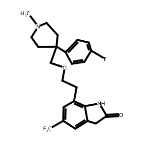 CN1CCC(COCCc2cc(C(F)(F)F)cc3c2NC(=O)C3)(c2ccc(F)cc2)CC1